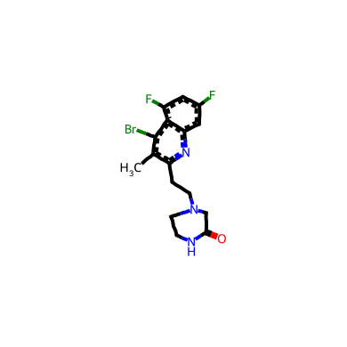 Cc1c(CCN2CCNC(=O)C2)nc2cc(F)cc(F)c2c1Br